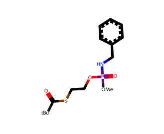 COP(=O)(NCc1ccccc1)OCCSC(=O)C(C)(C)C